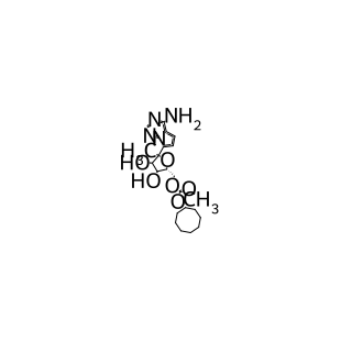 CC1(OC(=O)OC[C@H]2O[C@@](C)(c3ccc4c(N)ncnn34)[C@H](O)[C@@H]2O)CCCCCCC1